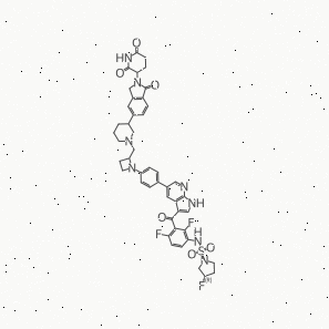 O=C1CCC(N2Cc3cc(C4CCCN(CC5CCN5c5ccc(-c6cnc7[nH]cc(C(=O)c8c(F)ccc(NS(=O)(=O)N9CC[C@@H](F)C9)c8F)c7c6)cc5)C4)ccc3C2=O)C(=O)N1